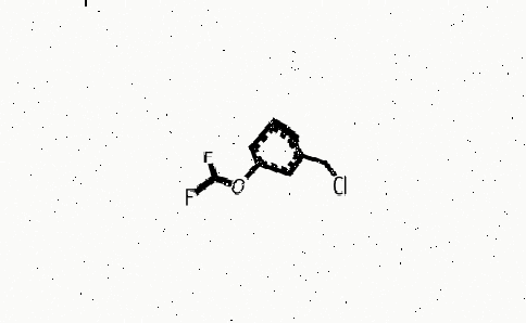 FC(F)Oc1cccc(CCl)c1